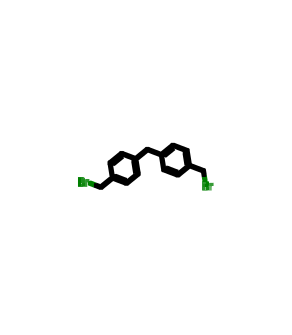 BrCc1ccc(Cc2ccc(CBr)cc2)cc1